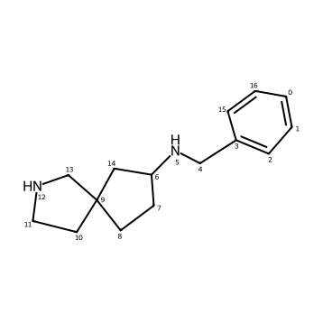 c1ccc(CNC2CCC3(CCNC3)C2)cc1